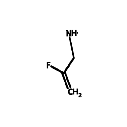 C=C(F)C[NH]